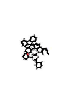 C=C/C=C\c1c(C)n(-c2nc(-c3ccccc3)nc(-c3ccccc3)n2)c2c3c(ccc12)C1(c2ccccc2-c2ccccc21)c1ccccc1-3